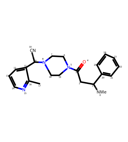 CNC(CC(=O)N1CCN(C(C#N)c2cccnc2C)CC1)c1ccccc1